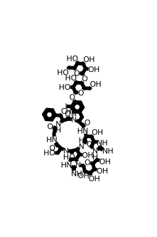 CC(c1ccccc1)C1NC(=O)CNC(=O)C(CO)NC(=O)C(C(O)C2CNC(=N)N2C2OC(CO)C(O)C(O)C2O)NC(=O)C(C(O)C2CNC(=N)N2)NC(=O)C(Cc2ccc(OC3OC(CO)C(OC4OC(CO)C(O)C(O)C4O)C(O)C3O)c(I)c2)NC1=O